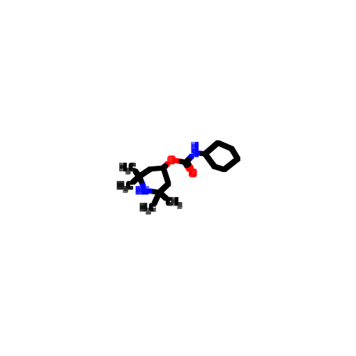 CC1(C)CC(OC(=O)NC2CCCCC2)CC(C)(C)N1